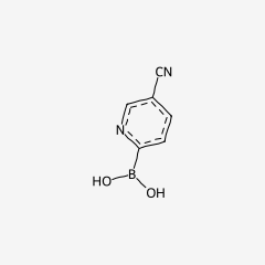 N#Cc1ccc(B(O)O)nc1